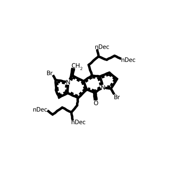 C=c1c2c(CC(CCCCCCCCCC)CCCCCCCCCCCC)c3ccc(Br)n3c(=O)c2c(CC(CCCCCCCCCC)CCCCCCCCCCCC)c2ccc(Br)n12